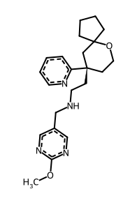 COc1ncc(CNCC[C@]2(c3ccccn3)CCOC3(CCCC3)C2)cn1